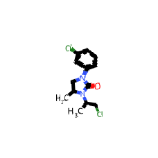 CC(CCl)N1C(=O)N(c2cccc(Cl)c2)CC1C